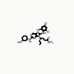 CCC[C@H](CCC(N)=O)n1c(Nc2c(Cl)cc(Cl)cc2Cl)nc2cnc(N[C@H]3CCCC(O)C3)nc21